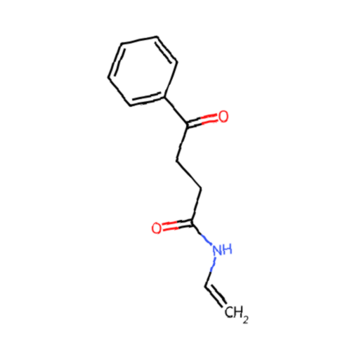 C=CNC(=O)CCC(=O)c1ccccc1